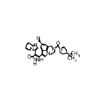 CN(C)C1CCN(C(=O)N2CCn3cc(-c4[nH][nH]c(=O)c4-c4cnc5ccccn45)c4cc(C#N)cc(c43)C2)CC1